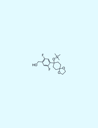 C[Si](C)(C)OC1(c2cc(F)c(CO)cc2F)CCC2(CC1)OCCO2